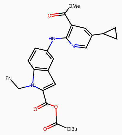 COC(=O)c1cc(C2CC2)cnc1Nc1ccc2c(c1)cc(C(=O)OC(=O)OCC(C)C)n2CC(C)C